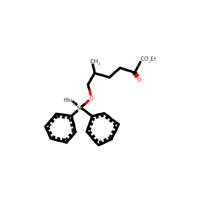 CCOC(=O)C(=O)CCC(C)CO[Si](c1ccccc1)(c1ccccc1)C(C)(C)C